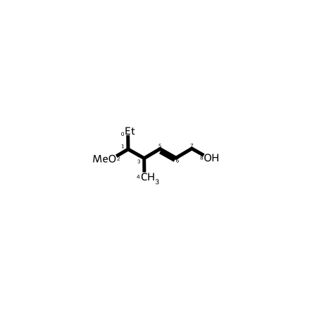 CCC(OC)C(C)C=CCO